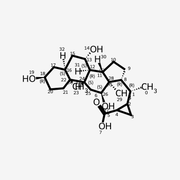 C[C@H](C1CC1C(=O)O)[C@H]1CC[C@H]2[C@@H]3[C@@H](O)C[C@@H]4C[C@H](O)CC[C@]4(C)[C@H]3C[C@H](O)[C@]12C